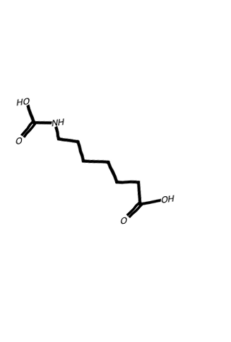 O=C(O)CCCCCCNC(=O)O